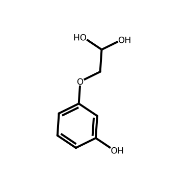 Oc1cccc(OCC(O)O)c1